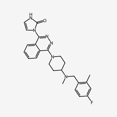 Cc1cc(F)ccc1CN(C)C1CCN(c2nnc(-n3cc[nH]c3=O)c3ccccc23)CC1